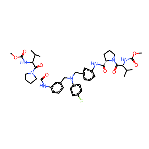 COC(=O)N[C@H](C(=O)N1CCC[C@H]1C(=O)Nc1cccc(CN(Cc2cccc(NC(=O)[C@@H]3CCCN3C(=O)[C@@H](NC(=O)OC)C(C)C)c2)c2ccc(F)cc2)c1)C(C)C